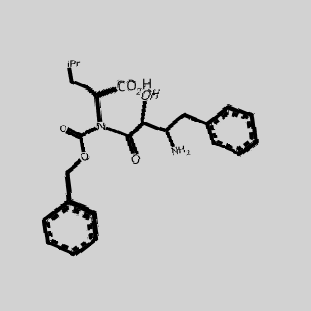 CC(C)CC(C(=O)O)N(C(=O)OCc1ccccc1)C(=O)C(O)C(N)Cc1ccccc1